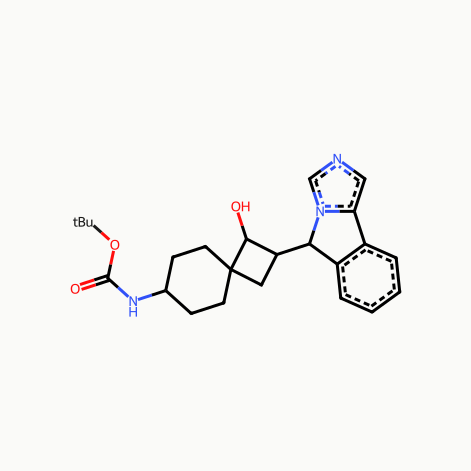 CC(C)(C)OC(=O)NC1CCC2(CC1)CC(C1c3ccccc3-c3cncn31)C2O